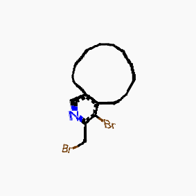 BrCc1ncc2c(c1Br)CCCCCCCCCC2